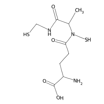 CC(C(=O)NCS)N(S)C(=O)CCC(N)C(=O)O